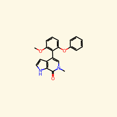 COc1cccc(Oc2ccccc2)c1-c1cn(C)c(=O)c2[nH]ccc12